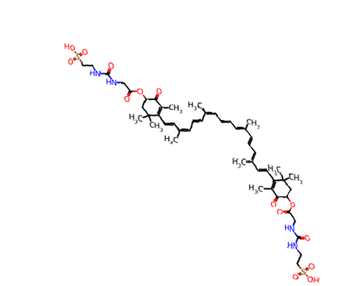 CC(C=CC=C(C)C=CC1=C(C)C(=O)C(OC(=O)CNC(=O)NCCS(=O)(=O)O)CC1(C)C)=CC=CC=C(C)C=CC=C(C)C=CC1=C(C)C(=O)C(OC(=O)CNC(=O)NCCS(=O)(=O)O)CC1(C)C